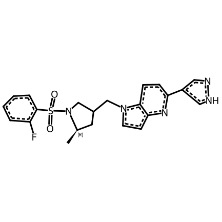 C[C@@H]1CC(Cn2ccc3nc(-c4cn[nH]c4)ccc32)CN1S(=O)(=O)c1ccccc1F